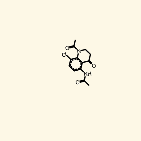 CC(=O)Nc1ccc(Cl)c2c1C(=O)CCN2C(C)=O